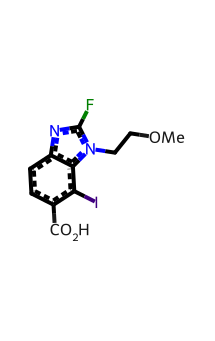 COCCn1c(F)nc2ccc(C(=O)O)c(I)c21